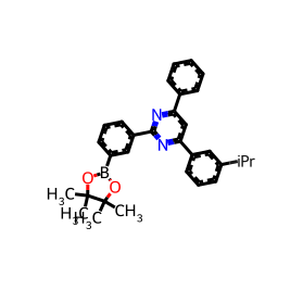 CC(C)c1cccc(-c2cc(-c3ccccc3)nc(-c3cccc(B4OC(C)(C)C(C)(C)O4)c3)n2)c1